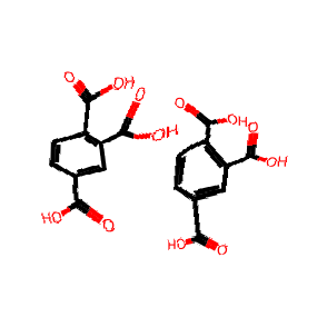 O=C(O)c1ccc(C(=O)O)c(C(=O)O)c1.O=C(O)c1ccc(C(=O)O)c(C(=O)O)c1